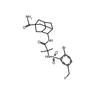 CC(C)(NS(=O)(=O)c1cc(CF)ccc1Br)C(=O)NC1C2CC3CC1CC(C(N)=O)(C3)C2